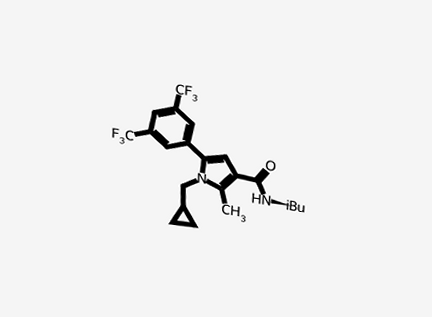 CC[C@H](C)NC(=O)c1cc(-c2cc(C(F)(F)F)cc(C(F)(F)F)c2)n(CC2CC2)c1C